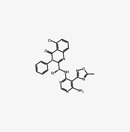 CC[C@H](Nc1ncnc(N)c1-c1noc(C)n1)c1nc2cccc(Cl)c2c(=O)n1-c1ccccc1